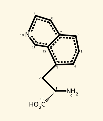 N[C@@H](Cc1cccc2ccncc12)C(=O)O